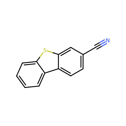 N#Cc1ccc2c(c1)sc1ccccc12